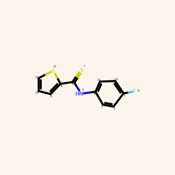 Fc1ccc(NC(=S)c2cccs2)cc1